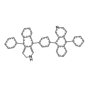 C1=c2c(-c3ccccc3)c3ccccc3c(-c3ccc(-c4c5ccccc5c(-c5ccccc5)c5ccncc45)cc3)c2=CNC1